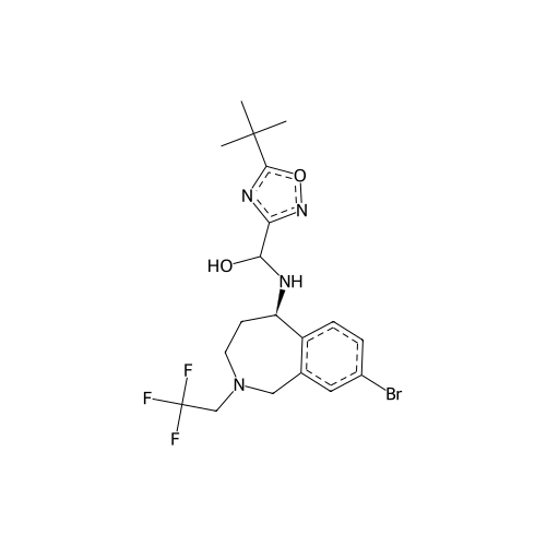 CC(C)(C)c1nc(C(O)N[C@@H]2CCN(CC(F)(F)F)Cc3cc(Br)ccc32)no1